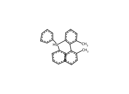 Cc1ccccc1-c1c(C)cccc1[SiH](c1ccccc1)c1ccccc1